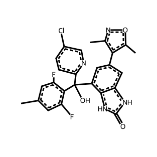 Cc1cc(F)c(C(O)(c2ccc(Cl)cn2)c2cc(-c3c(C)noc3C)cc3[nH]c(=O)[nH]c23)c(F)c1